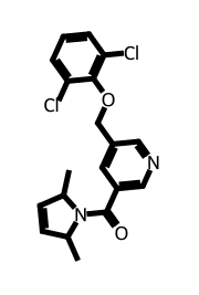 CC1C=CC(C)N1C(=O)c1cncc(COc2c(Cl)cccc2Cl)c1